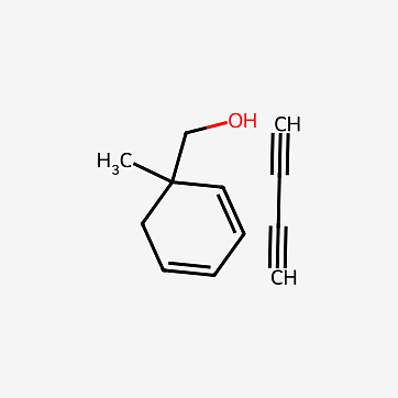 C#CC#C.CC1(CO)C=CC=CC1